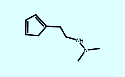 CN(C)NCCC1=CC=CC1